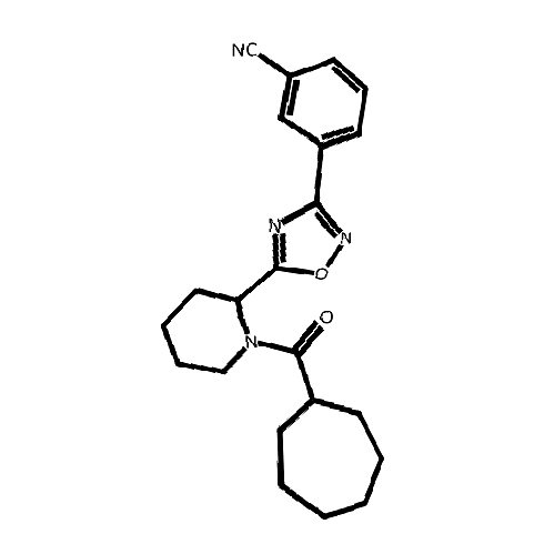 N#Cc1cccc(-c2noc(C3CCCCN3C(=O)C3CCCCCC3)n2)c1